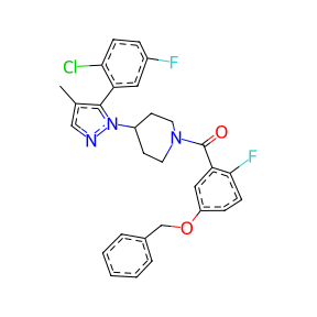 Cc1cnn(C2CCN(C(=O)c3cc(OCc4ccccc4)ccc3F)CC2)c1-c1cc(F)ccc1Cl